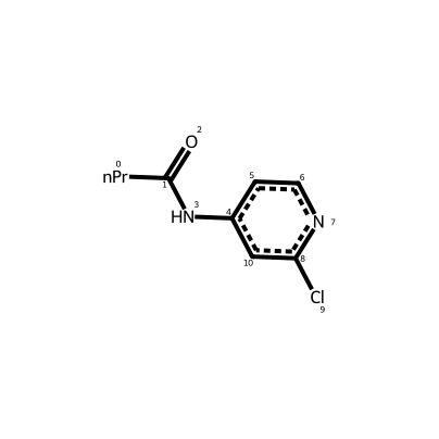 CCCC(=O)Nc1ccnc(Cl)c1